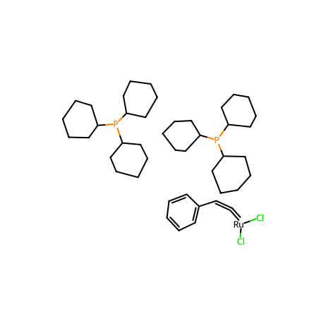 C1CCC(P(C2CCCCC2)C2CCCCC2)CC1.C1CCC(P(C2CCCCC2)C2CCCCC2)CC1.[Cl][Ru]([Cl])=[C]=Cc1ccccc1